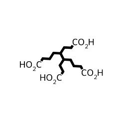 O=C(O)CCCC(CCC(=O)O)C(CCCC(=O)O)CCC(=O)O